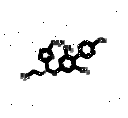 Cc1cc(O[C@H](CCC(F)(F)F)c2ccc(C(=O)O)s2)cc(C)c1-c1ccc(C(C)(C)C)cc1